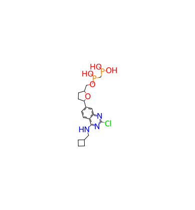 OP(O)CP(O)OCC1CCC(c2ccc3c(NCC4CCC4)nc(Cl)nc3c2)O1